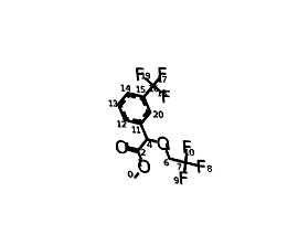 COC(=O)C(OCC(F)(F)F)c1cccc(C(F)(F)F)c1